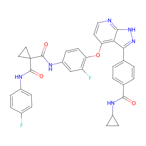 O=C(NC1CC1)c1ccc(-c2n[nH]c3nccc(Oc4ccc(NC(=O)C5(C(=O)Nc6ccc(F)cc6)CC5)cc4F)c23)cc1